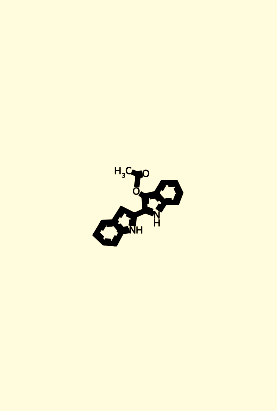 CC(=O)Oc1c(-c2cc3ccccc3[nH]2)[nH]c2ccccc12